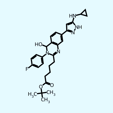 CC(C)(C)OC(=O)CCCCC1=Nc2cc(-c3cc(NC4CC4)[nH]n3)ccc2C(O)N1c1ccc(F)cc1